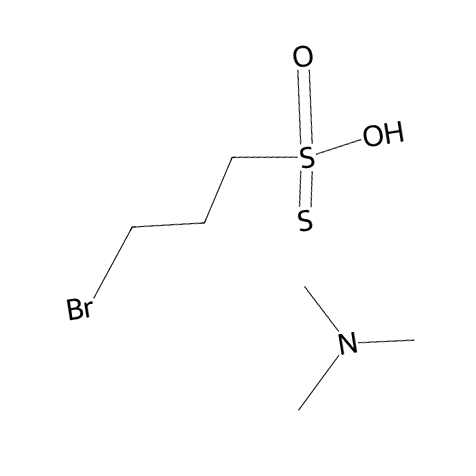 CN(C)C.O=S(O)(=S)CCCBr